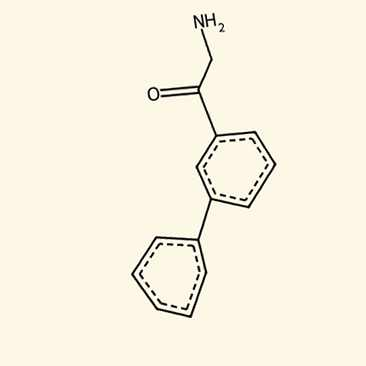 NCC(=O)c1cccc(-c2ccccc2)c1